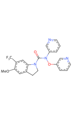 COc1cc2c(cc1C(F)(F)F)N(C(=O)N(Oc1cccnc1)c1cccnc1)CC2